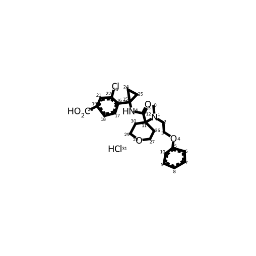 CN(CCOc1ccccc1)C1(C(=O)NC2(c3ccc(C(=O)O)cc3Cl)CC2)CCOCC1.Cl